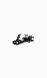 CCCCCCN1c2ccccc2CCc2cc(/C=C/C=c3/s/c(=C(/SS)C(=O)NCC)[nH]c3=O)ccc21